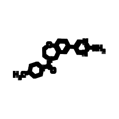 CC1CCN(C(=O)N2CCOc3ccc(-c4cnc(N)nc4)cc3C2)CC1